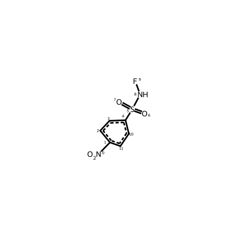 O=[N+]([O-])c1ccc(S(=O)(=O)NF)cc1